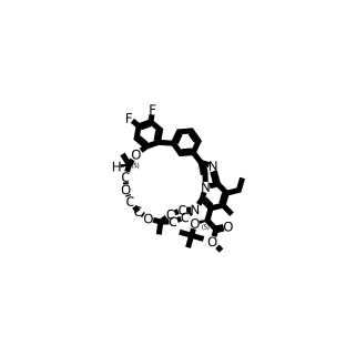 CCc1c(C)c([C@H](OC(C)(C)C)C(=O)OC)c2n3cc(nc13)-c1cccc(c1)-c1cc(F)c(F)cc1O[C@@H](C)COCCOC1(C)CCN2CC1